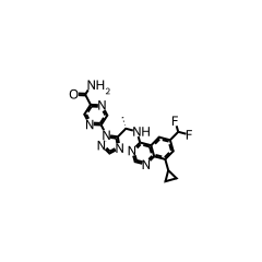 C[C@H](Nc1ncnc2c(C3CC3)cc(C(F)F)cc12)c1ncnn1-c1cnc(C(N)=O)cn1